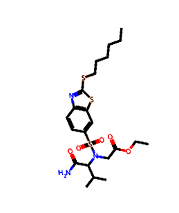 CCCCCCSc1nc2ccc(S(=O)(=O)N(CC(=O)OCC)C(C(N)=O)C(C)C)cc2s1